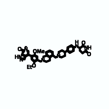 CCOc1cc(-c2cn(C)c(=O)c3[nH]ncc23)c(OC)cc1CN1CCc2c(CN3CCC(c4ccc(NC5CCC(=O)NC5=O)cc4)CC3)cccc2C1